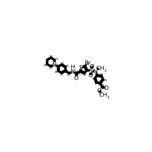 COC(=O)c1ccc(N(C)S(=O)(=O)c2cc(C(=O)NCc3ccc(N4CCCCC4)cc3)sc2Br)cc1